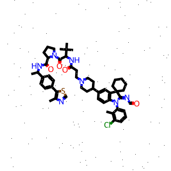 Cc1ncsc1-c1ccc(C(C)NC(=O)C2CCCN2C(=O)C(NC(=O)CCN2CCC(c3ccc4c(c3)C3(CCCCC3)/C(=N/C=O)N4c3cccc(Cl)c3C)CC2)C(C)(C)C)cc1